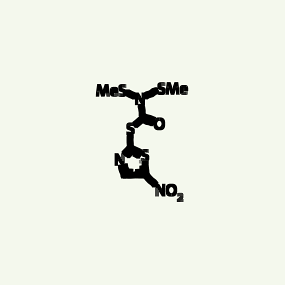 CSN(SC)C(=O)Sc1ncc([N+](=O)[O-])s1